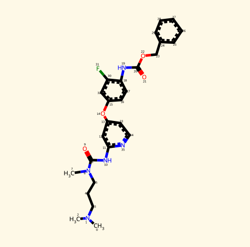 CN(C)CCCN(C)C(=O)Nc1cc(Oc2ccc(NC(=O)OCc3ccccc3)c(F)c2)ccn1